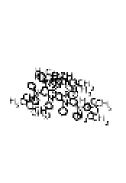 CC1(C)CCC(C)(C)c2cc(N(c3ccccc3)c3cc4c5c(c3)N(c3ccccc3)c3cc6c(cc3B5c3sc5c(c3O4)C(C)(C)CCC5(C)C)B3c4sc5c(c4N(c4ccccc4)c4cc(N(c7ccccc7)c7ccc8c(c7)C(C)(C)CCC8(C)C)cc(c43)N6c3ccccc3)C(C)(C)CCC5(C)C)ccc21